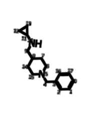 c1ccc(CN2CCC(CNC3CC3)CC2)cc1